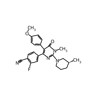 COc1ccc(-c2c(-c3ccc(C#N)c(F)c3)nc(N3CCC[C@H](C)C3)n(C)c2=O)cc1